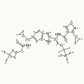 CC(C)(OC[C@H](NC(=O)c1nonc1C1CC1)c1nc2ccc([C@H](NC(=O)CC3CC(F)(F)C3)C3CC3)cc2[nH]1)C(F)(F)F